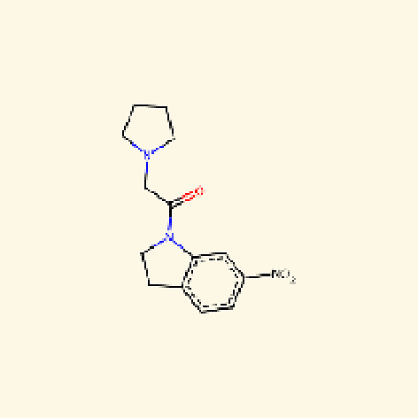 O=C(CN1CCCC1)N1CCc2ccc([N+](=O)[O-])cc21